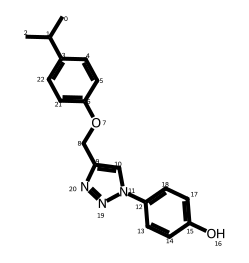 CC(C)c1ccc(OCc2cn(-c3ccc(O)cc3)nn2)cc1